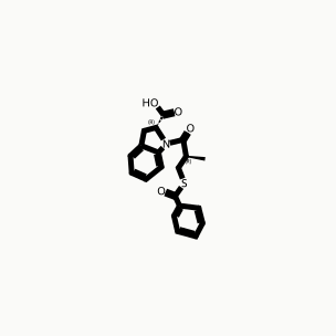 C[C@@H](CSC(=O)c1ccccc1)C(=O)N1c2ccccc2C[C@@H]1C(=O)O